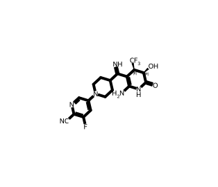 N#Cc1ncc(N2CCC(C(=N)C3=C(N)NC(=O)[C@H](O)[C@@H]3C(F)(F)F)CC2)cc1F